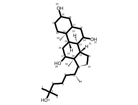 C[C@H](CCCC(C)(C)O)[C@H]1CC[C@H]2[C@@H]3C(O)CC4CC(O)CC[C@]4(C)[C@H]3CC(O)[C@]12C